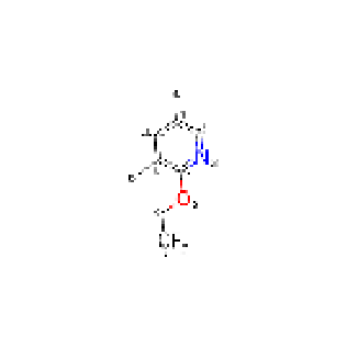 Cc1cnc(OCC(F)(F)F)c(C)c1